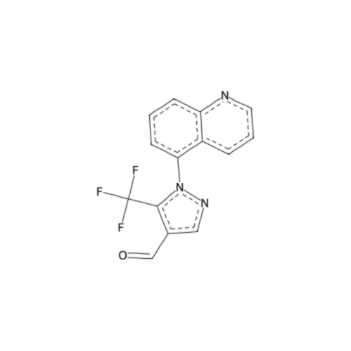 O=Cc1cnn(-c2cccc3ncccc23)c1C(F)(F)F